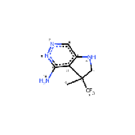 CC1(C(F)(F)F)CNc2cnnc(N)c21